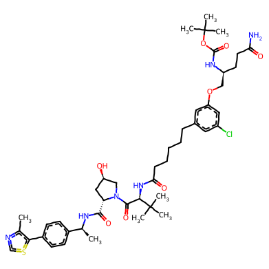 Cc1ncsc1-c1ccc([C@H](C)NC(=O)[C@@H]2C[C@@H](O)CN2C(=O)[C@@H](NC(=O)CCCCCc2cc(Cl)cc(OC[C@H](CCC(N)=O)NC(=O)OC(C)(C)C)c2)C(C)(C)C)cc1